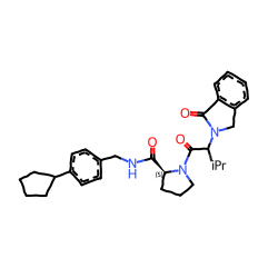 CC(C)C(C(=O)N1CCC[C@H]1C(=O)NCc1ccc(C2CCCC2)cc1)N1Cc2ccccc2C1=O